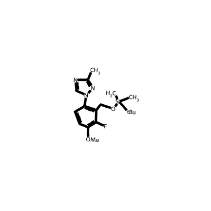 COc1ccc(-n2cnc(C)n2)c(CO[Si](C)(C)C(C)(C)C)c1F